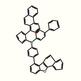 c1ccc(-c2ccc(N(c3ccc(-c4cccc5oc6c7ccccc7ccc6c45)cc3)c3ccccc3-c3cccc4c3ccc3ccccc34)cc2)cc1